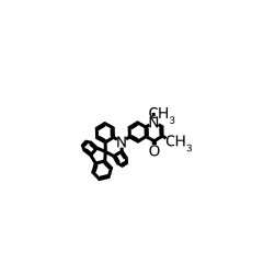 Cc1cn(C)c2ccc(N3c4ccccc4C4(c5ccccc5-c5ccccc54)c4ccccc43)cc2c1=O